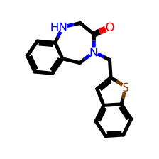 O=C1CNc2ccccc2CN1Cc1cc2ccccc2s1